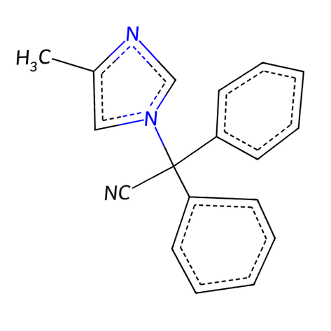 Cc1cn(C(C#N)(c2ccccc2)c2ccccc2)cn1